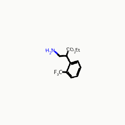 CCOC(=O)C(CN)c1ccccc1C(F)(F)F